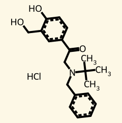 CC(C)(C)N(CC(=O)c1ccc(O)c(CO)c1)Cc1ccccc1.Cl